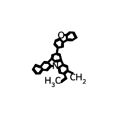 C=Cc1cc2c3cc(-c4ccc5oc6ccccc6c5c4)cc4c5cc6ccccc6cc5n(c2cc1/C=C\C)c34